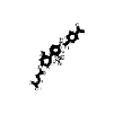 CC(=O)c1ccc(C(=O)Nc2ccc(-c3ccc(NC(=O)/C=C/C(=O)O)cc3C)c(S(=O)(=O)O)c2)cc1